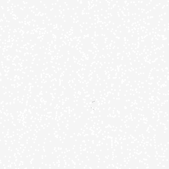 CC=C(CCC)C(=O)OCCCCCCCCCC